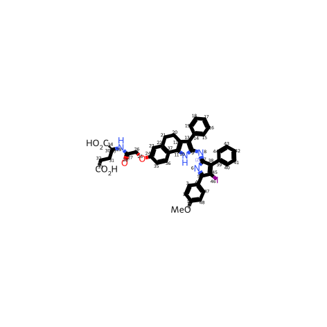 COc1ccc(C2=N/C(=N\c3[nH]c4c(c3-c3ccccc3)CCc3cc(OCC(=O)N[C@@H](CCC(=O)O)C(=O)O)ccc3-4)C(c3ccccc3)=C2I)cc1